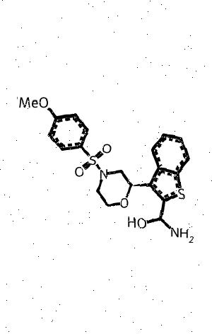 COc1ccc(S(=O)(=O)N2CCO[C@H](c3c(C(N)O)sc4ccccc34)C2)cc1